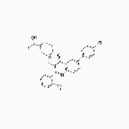 COc1ccccc1-c1nc2ccc(-c3ccc(Cl)cc3)cc2c(=O)n1C[C@H]1CCCN(C(=O)O)C1